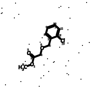 COC(=O)COCc1ccccc1Cl